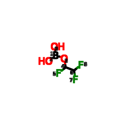 OB(O)OC(F)C(F)F